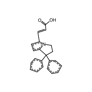 O=C(O)C=Cc1ccc2n1CCC2(c1ccccc1)c1ccccc1